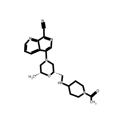 CC(=O)N1CCC(NC[C@H]2CN(c3cnc(C#N)c4ncccc34)C[C@@H](C)O2)CC1